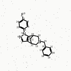 Fc1ccc(-n2ncc3c2C2CC3CN(Cc3ccccc3)C2)cc1